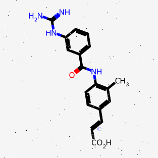 Cc1cc(/C=C/C(=O)O)ccc1NC(=O)c1cccc(NC(=N)N)c1